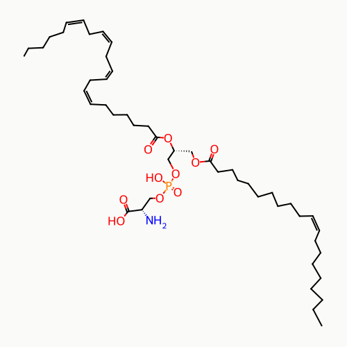 CCCCC/C=C\C/C=C\C/C=C\C/C=C\CCCCCC(=O)O[C@H](COC(=O)CCCCCCCCC/C=C\CCCCCCCC)COP(=O)(O)OC[C@H](N)C(=O)O